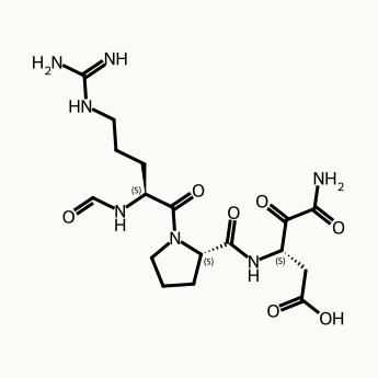 N=C(N)NCCC[C@H](NC=O)C(=O)N1CCC[C@H]1C(=O)N[C@@H](CC(=O)O)C(=O)C(N)=O